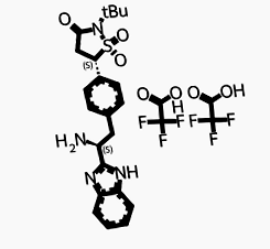 CC(C)(C)N1C(=O)C[C@@H](c2ccc(C[C@H](N)c3nc4ccccc4[nH]3)cc2)S1(=O)=O.O=C(O)C(F)(F)F.O=C(O)C(F)(F)F